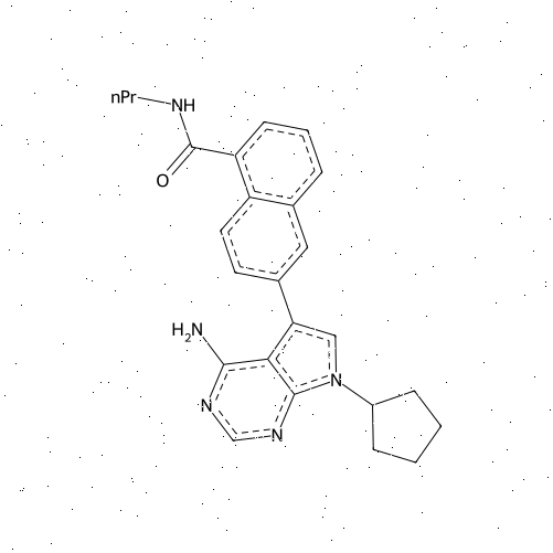 CCCNC(=O)c1cccc2cc(-c3cn(C4CCCC4)c4ncnc(N)c34)ccc12